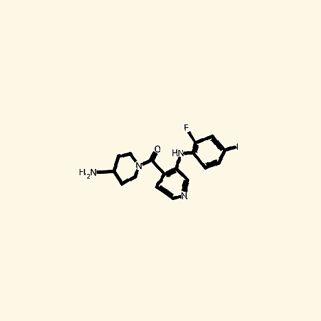 NC1CCN(C(=O)c2ccncc2Nc2ccc(I)cc2F)CC1